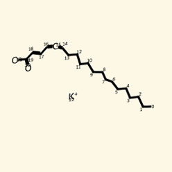 CCCCCCCCCCCCCCC=C=CC=CC(=O)[O-].[K+]